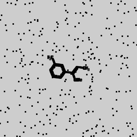 CC=C(OC)c1cccc(C(F)(F)F)c1